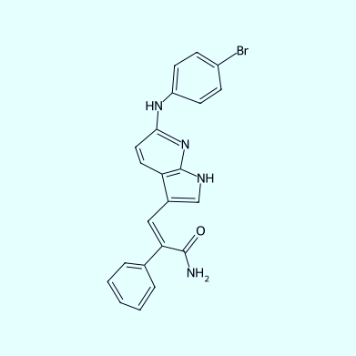 NC(=O)C(=Cc1c[nH]c2nc(Nc3ccc(Br)cc3)ccc12)c1ccccc1